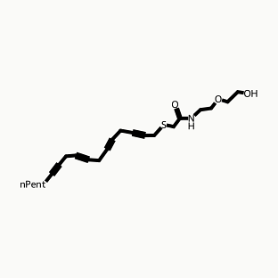 CCCCCC#CCC#CCC#CCC#CCSCC(=O)NCCOCCO